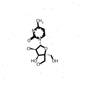 Cc1ccn([C@@H]2O[C@@](CO)(CCl)[C@@H](O)[C@H]2Cl)c(=O)n1